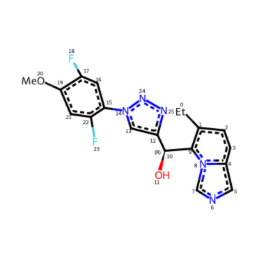 CCc1ccc2cncn2c1[C@@H](O)c1cn(-c2cc(F)c(OC)cc2F)nn1